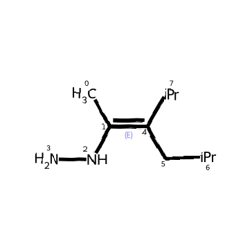 C/C(NN)=C(/CC(C)C)C(C)C